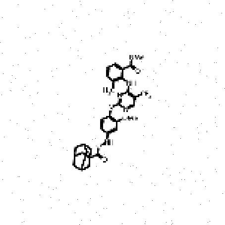 CNC(=O)c1cccc(C)c1Nc1nc(Nc2ccc(NOC(=O)C34CC5CC(CC(C5)C3)C4)cc2OC)ncc1C(F)(F)F